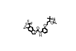 CSc1cc2c(cc1C(F)(F)F)N(C(=O)Nc1cccc(OCCC(O[SiH](C)C)C(C)(C)C)c1)CC2